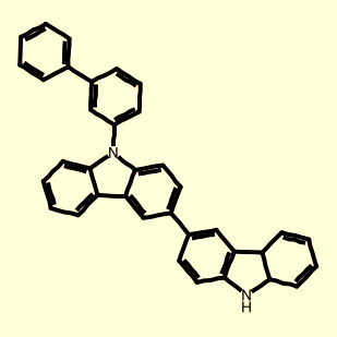 C1=CC2Nc3ccc(-c4ccc5c(c4)c4ccccc4n5-c4cccc(-c5ccccc5)c4)cc3C2C=C1